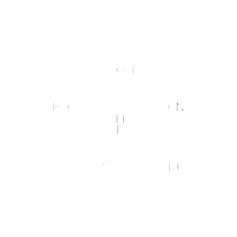 CCC(C#N)[PH](=O)C(C)O